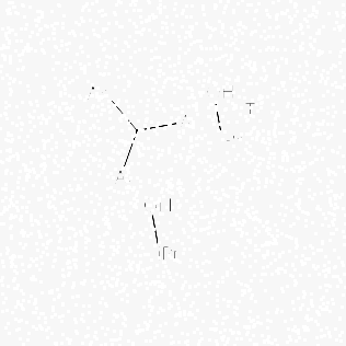 CC(=O)C(C(C)=O)C(C)=O.CC(C)O.CC(C)O.[Ti]